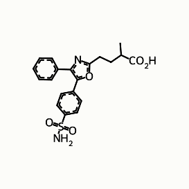 CC(CCc1nc(-c2ccccc2)c(-c2ccc(S(N)(=O)=O)cc2)o1)C(=O)O